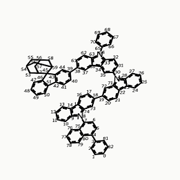 c1ccc(-c2ccc(-n3c4ccccc4c4ccc(-c5ccc6c7ccccc7n(-c7ccc8c(c7)c7cc(-c9ccc%10c(c9)C9(c%11ccccc%11-%10)C%10CC%11CC(C%10)CC9C%11)ccc7n8-c7ccccc7)c6c5)cc43)c3ccccc23)cc1